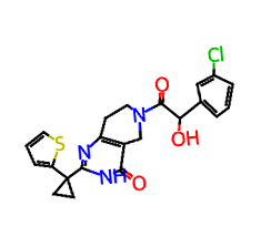 O=C(C(O)c1cccc(Cl)c1)N1CCc2nc(C3(c4cccs4)CC3)[nH]c(=O)c2C1